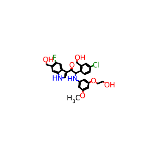 COc1cc(NC(C(=O)c2c[nH]c3cc(CO)c(F)cc23)c2ccc(Cl)cc2CO)cc(OCCO)c1